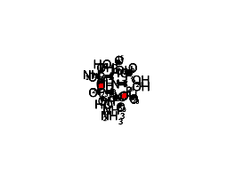 N.N.N.O=P(O)(O)C(N(C(P(=O)(O)O)P(=O)(O)O)C(P(=O)(O)O)P(=O)(O)O)P(=O)(O)O